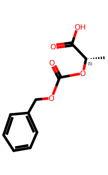 C[C@H](OC(=O)OCc1ccccc1)C(=O)O